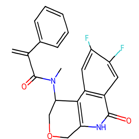 C=C(C(=O)N(C)C1COCc2[nH]c(=O)c3cc(F)c(F)cc3c21)c1ccccc1